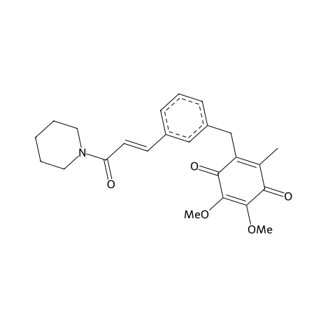 COC1=C(OC)C(=O)C(Cc2cccc(/C=C/C(=O)N3CCCCC3)c2)=C(C)C1=O